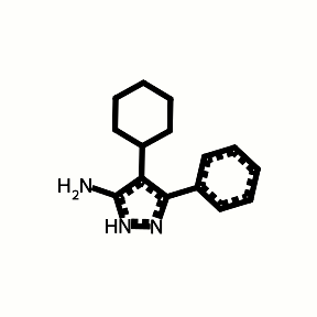 Nc1[nH]nc(-c2ccccc2)c1C1CCCCC1